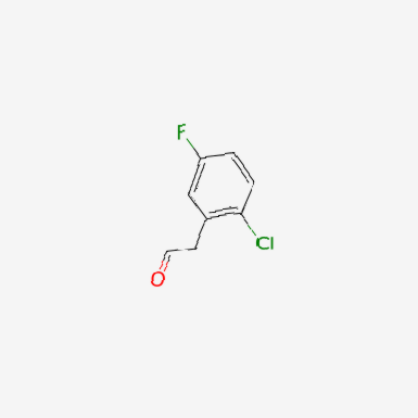 O=CCc1cc(F)ccc1Cl